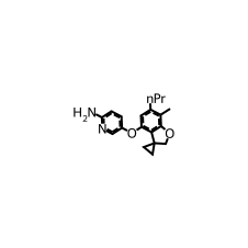 CCCc1cc(Oc2ccc(N)nc2)c2c(c1C)OCC21CC1